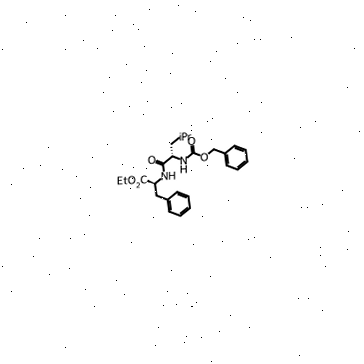 CCOC(=O)[C@H](Cc1ccccc1)NC(=O)[C@H](CC(C)C)NC(=O)OCc1ccccc1